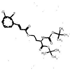 CC(C)(C)OC(=O)NC(CCOC(=O)/C=C/c1cccc(Cl)c1F)C(=O)OC(C)(C)C